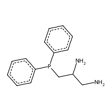 NCC(N)CP(c1ccccc1)c1ccccc1